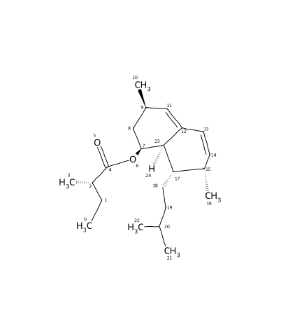 CC[C@H](C)C(=O)O[C@H]1C[C@@H](C)C=C2C=C[C@H](C)[C@H](CCC(C)C)[C@H]21